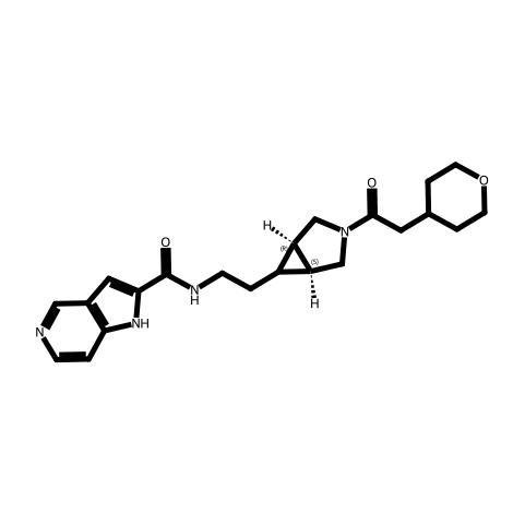 O=C(NCCC1[C@H]2CN(C(=O)CC3CCOCC3)C[C@@H]12)c1cc2cnccc2[nH]1